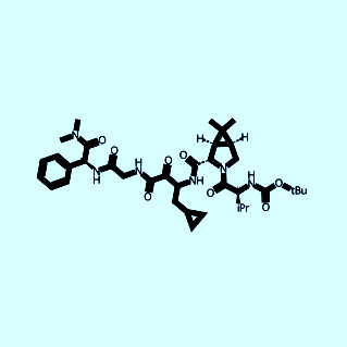 CC(C)[C@H](NC(=O)OC(C)(C)C)C(=O)N1C[C@H]2[C@@H]([C@H]1C(=O)NC(CC1CC1)C(=O)C(=O)NCC(=O)N[C@H](C(=O)N(C)C)c1ccccc1)C2(C)C